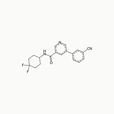 N#Cc1cccc(-c2cncc(C(=O)NC3CCC(F)(F)CC3)c2)c1